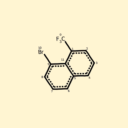 FC(F)(F)c1cccc2cccc(Br)c12